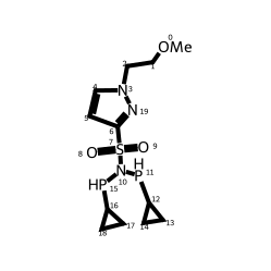 COCCn1ccc(S(=O)(=O)N(PC2CC2)PC2CC2)n1